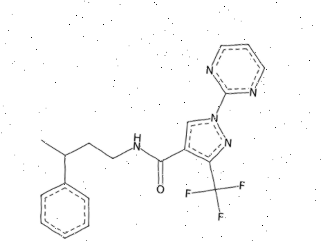 CC(CCNC(=O)c1cn(-c2ncccn2)nc1C(F)(F)F)c1ccccc1